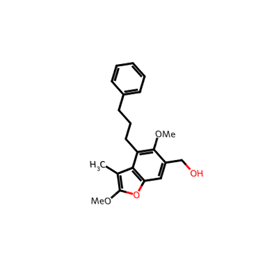 COc1oc2cc(CO)c(OC)c(CCCc3ccccc3)c2c1C